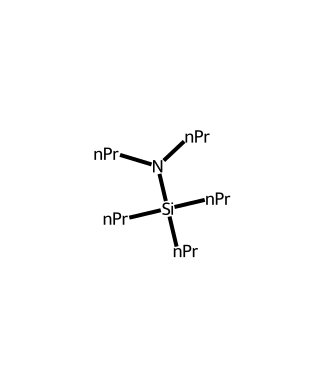 CCCN(CCC)[Si](CCC)(CCC)CCC